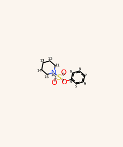 O=S(=O)(Oc1ccccc1)N1CCCCC1